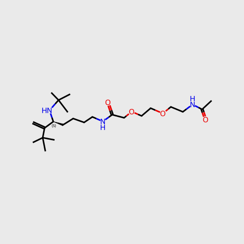 C=C([C@H](CCCCNC(=O)COCCOCCNC(C)=O)NC(C)(C)C)C(C)(C)C